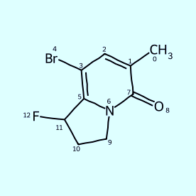 Cc1cc(Br)c2n(c1=O)CCC2F